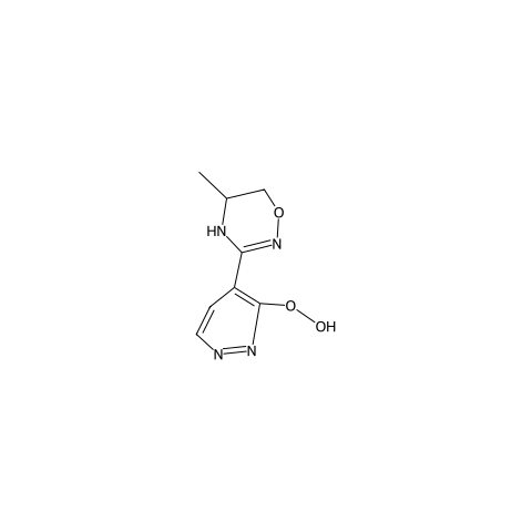 CC1CON=C(c2ccnnc2OO)N1